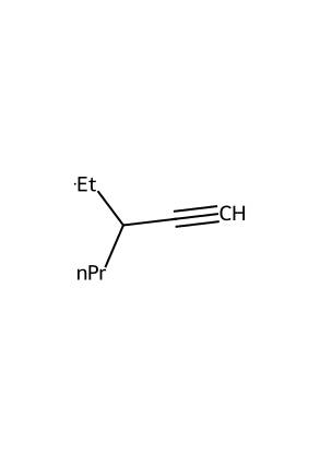 C#CC([CH]C)CCC